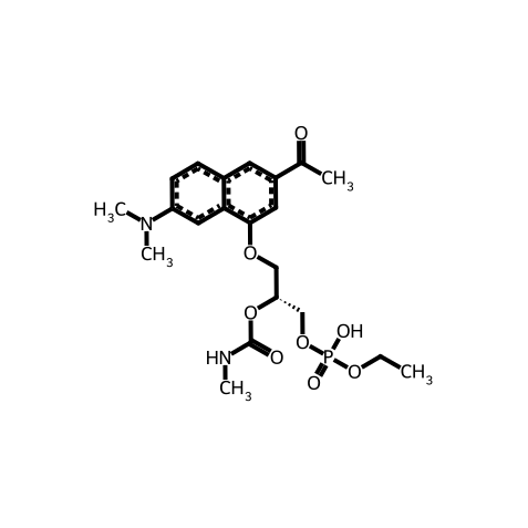 CCOP(=O)(O)OC[C@@H](COc1cc(C(C)=O)cc2ccc(N(C)C)cc12)OC(=O)NC